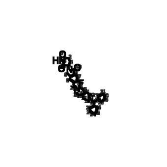 O=C1CCC(N2Cc3cc(CN4CCC5(CC4)CCN(C(c4ccccc4)c4ccccc4)CC5)c(F)cc3C2=O)C(=O)N1